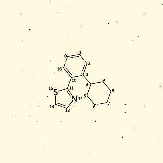 c1ccc(C2CCCCC2)c(-c2nccs2)c1